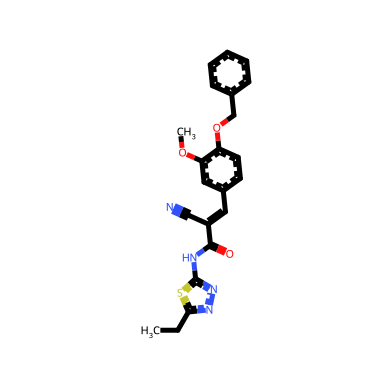 CCc1nnc(NC(=O)/C(C#N)=C/c2ccc(OCc3ccccc3)c(OC)c2)s1